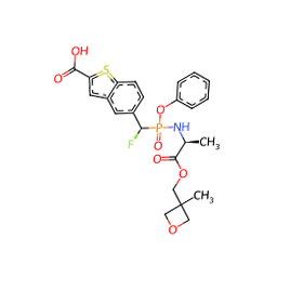 C[C@H](NP(=O)(Oc1ccccc1)[C@@H](F)c1ccc2sc(C(=O)O)cc2c1)C(=O)OCC1(C)COC1